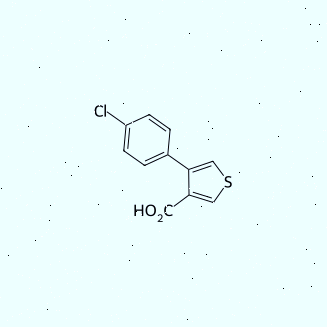 O=C(O)c1cscc1-c1ccc(Cl)cc1